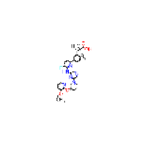 CCOc1cccnc1O[C@@H]1CCCN(c2cncc(Nc3nc(-c4cccc(CC(C)(C)C(=O)O)c4)ccc3F)n2)C1